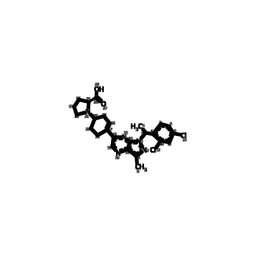 Cc1nn(C(C)c2ccc(Cl)cc2Cl)c2nc(C3=CCC(N4CCC[C@H]4C(=O)O)CC3)cnc12